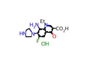 CCn1cc(C(=O)O)c(=O)c2cc(F)c(N3CCNCC3)c(N)c21.Cl